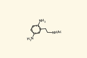 CC(=O)NCCc1cc(N)ccc1N